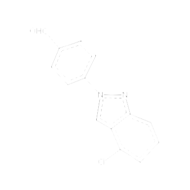 O=Cc1ccc(-n2cc3c(Cl)cccc3n2)cc1